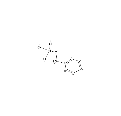 Cl[Si](Cl)(Cl)O[SiH2]c1ccccc1